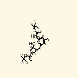 Cc1cc(CC2CN(C(=O)OC(C)(C)C)CC2O)nc(NC(=O)OC(C)(C)C)c1